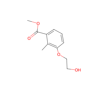 COC(=O)c1cccc(OCCO)c1C